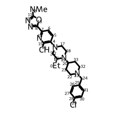 CC[C@H]1CN(c2ccc(-c3nnc(NC)o3)nc2C)CCN1C1CCN(Cc2ccc(Cl)cc2)CC1